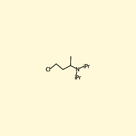 CC(C)N(C(C)C)C(C)CCCl